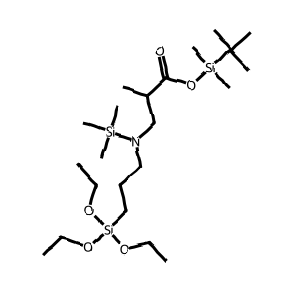 CCO[Si](CCCN(CC(C)C(=O)O[Si](C)(C)C(C)(C)C)[Si](C)(C)C)(OCC)OCC